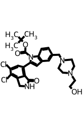 CC(C)(C)OC(=O)n1c(-c2cc(Cl)c(Cl)c3c2C(=O)NC3)cc2cc(CN3CCN(CCO)CC3)ccc21